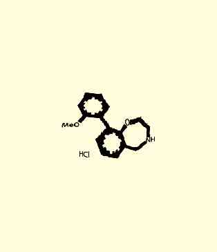 COc1ccccc1-c1cccc2c1OCCNC2.Cl